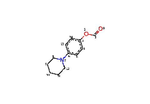 O=COc1ccc(N2CCCCC2)cc1